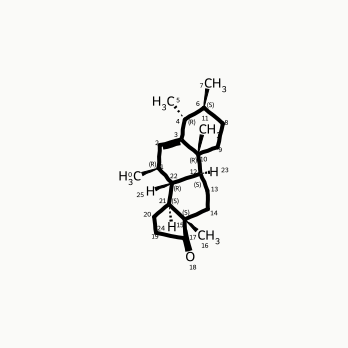 C[C@H]1C=C2[C@H](C)[C@@H](C)CC[C@]2(C)[C@H]2CC[C@]3(C)C(=O)CC[C@H]3[C@H]12